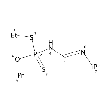 CCSP(=S)(NC=NC(C)C)OC(C)C